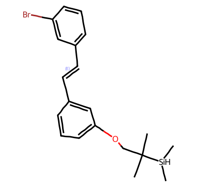 C[SiH](C)C(C)(C)COc1cccc(/C=C/c2cccc(Br)c2)c1